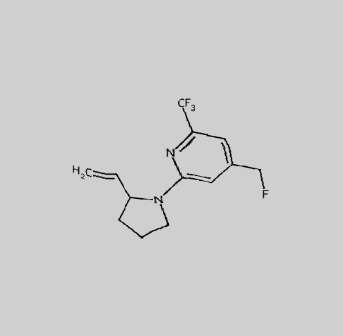 C=CC1CCCN1c1cc(CF)cc(C(F)(F)F)n1